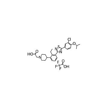 CCc1c(-c2nsc(-c3ccc(OC(C)C)c(Cl)c3)n2)cccc1C1CCN(CC(=O)O)CC1.O=C(O)C(F)(F)F